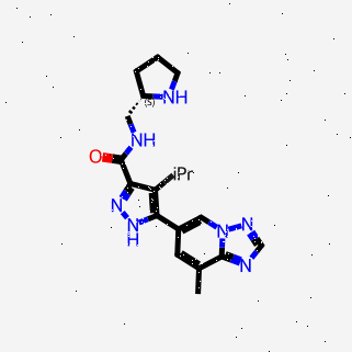 Cc1cc(-c2[nH]nc(C(=O)NC[C@@H]3CCCN3)c2C(C)C)cn2ncnc12